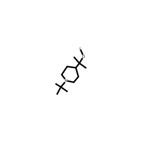 CC(C)(OI)C1CCN(C(C)(C)C)CC1